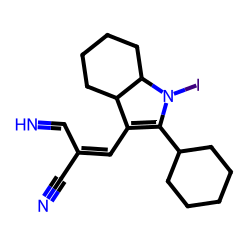 N#C/C(C=N)=C/C1=C(C2CCCCC2)N(I)C2CCCCC12